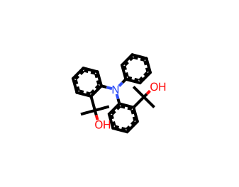 CC(C)(O)c1ccccc1N(c1ccccc1)c1ccccc1C(C)(C)O